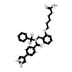 [2H]C([2H])(c1ccccc1)N(Cc1ccccc1OCCCCCC(=O)O)C(=O)c1ccc(-c2cn[nH]c2)cc1